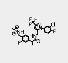 CC(C(=O)NCc1cc(C(F)(F)F)nn1-c1ccc(F)c(Cl)c1)c1ccc(CNS(C)(=O)=O)c(F)c1